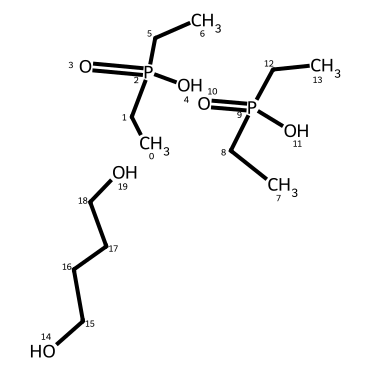 CCP(=O)(O)CC.CCP(=O)(O)CC.OCCCCO